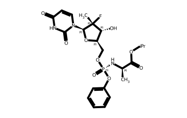 CC(C)OC(=O)[C@@H](C)N[P@](=O)(OC[C@H]1O[C@@H](n2ccc(=O)[nH]c2=O)[C@](C)(F)[C@@H]1O)Oc1ccccc1